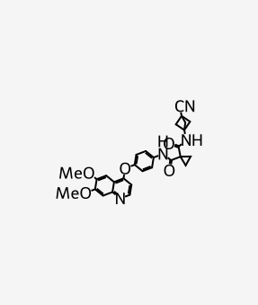 COc1cc2nccc(Oc3ccc(NC(=O)C4(C(=O)NC56CC(C#N)(C5)C6)CC4)cc3)c2cc1OC